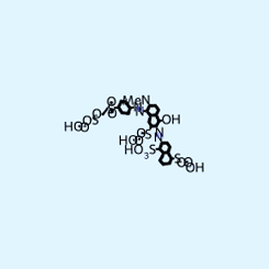 CNc1ccc2c(O)c(/N=N/c3ccc4c(SOOO)cccc4c3S(=O)(=O)O)c(SOOO)cc2c1/N=N/c1ccc(S(=O)(=O)CCOSOOO)cc1